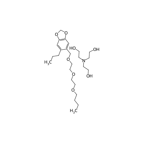 CCCCOCCOCCOCc1cc2c(cc1CCC)OCO2.OCCN(CCO)CCO